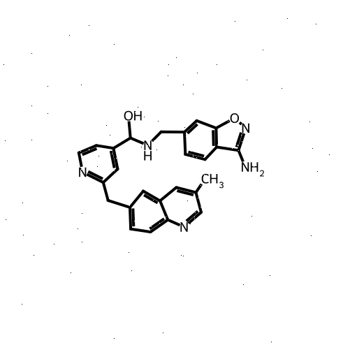 Cc1cnc2ccc(Cc3cc(C(O)NCc4ccc5c(N)noc5c4)ccn3)cc2c1